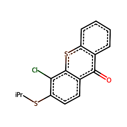 CC(C)Sc1ccc2c(=O)c3ccccc3sc2c1Cl